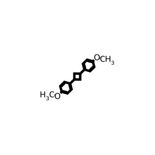 COc1ccc(C2CC(c3ccc(OC)cc3)C2)cc1